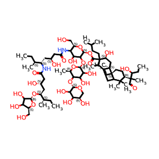 CCC(O)C(C)(C=O)[C@@H]1CC[C@@]23C(=C4C(C)C(CCC(C)C)(C(=O)O[C@@H]5O[C@H](CO)C(NC(=O)C[C@@H](O)C[C@H](NC(=O)C[C@@H](O)C[C@H](O[C@@H]6O[C@@H](CO)C(O)C6O)[C@@H](C)CC)[C@@H](C)CC)C(O)C5O[C@@H]5O[C@H](C)C(O[C@@H]6OC[C@@H](O)C(O)C6O)C(O)C5O)[C@@H](O)C[C@]42C)CC3C1(C)C